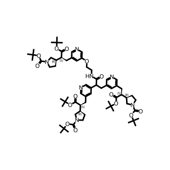 CC(C)(C)OC(=O)[C@@H](Cc1cncc(CC(C(=O)NCCOc2cncc(C[C@H](C(=O)OC(C)(C)C)[C@H]3CCN(C(=O)OC(C)(C)C)C3)c2)c2cncc(C[C@H](C(=O)OC(C)(C)C)[C@H]3CCN(C(=O)OC(C)(C)C)C3)c2)c1)[C@H]1CCN(C(=O)OC(C)(C)C)C1